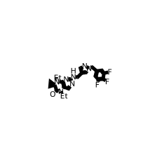 CCN1C(=O)C2(CC2)N(CC)c2nc(NCc3cnn(Cc4cc(F)c(F)c(F)c4)c3)ncc21